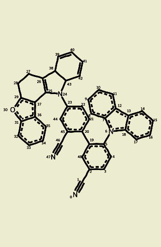 N#Cc1ccc(-n2c3ccccc3c3ccccc32)c(-c2ccc(N3C4=C(CCc5oc6ccccc6c54)C4C=CC=CC43)cc2C#N)c1